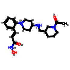 CC(=O)N1CCCC(CNC2CCN(c3ccccc3C=CC(=O)NO)CC2)C1